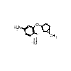 CN1CC[C@@H](Oc2cc(N)ccc2F)C1.Cl.Cl